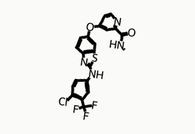 CNC(=O)c1cc(Oc2ccc3nc(Nc4ccc(Cl)c(C(F)(F)F)c4)sc3c2)ccn1